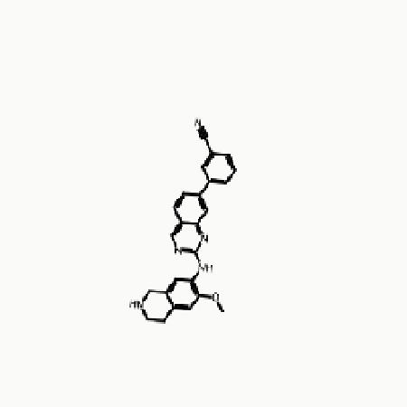 COc1cc2c(cc1Nc1ncc3ccc(-c4cccc(C#N)c4)cc3n1)CNCC2